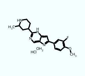 COc1ccc(-c2cc3[nH]c(C4CCNC(C)C4)ncc-3n2)cc1F.Cl.O